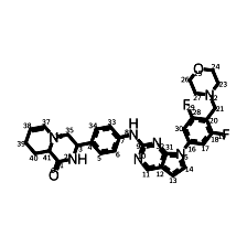 O=C1NC(c2ccc(Nc3ncc4ccn(-c5cc(F)c(CN6CCOCC6)c(F)c5)c4n3)cc2)CN2C=CCCC12